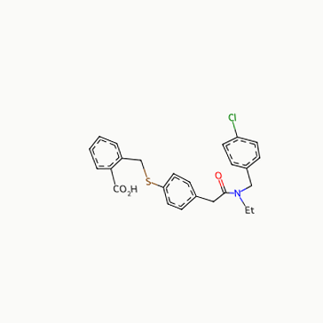 CCN(Cc1ccc(Cl)cc1)C(=O)Cc1ccc(SCc2ccccc2C(=O)O)cc1